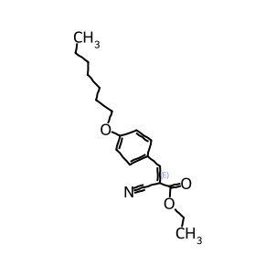 CCCCCCCOc1ccc(/C=C(\C#N)C(=O)OCC)cc1